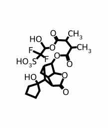 CC(C(=O)OC1C2CC3C1OC(=O)C3C2C1(O)CCCC1)C(C)C(=O)OC(O)C(F)(F)S(=O)(=O)O